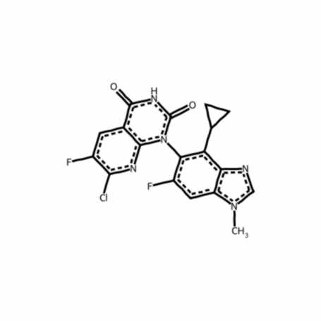 Cn1cnc2c(C3CC3)c(-n3c(=O)[nH]c(=O)c4cc(F)c(Cl)nc43)c(F)cc21